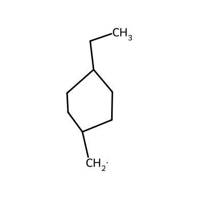 [CH2]C1CCC(CC)CC1